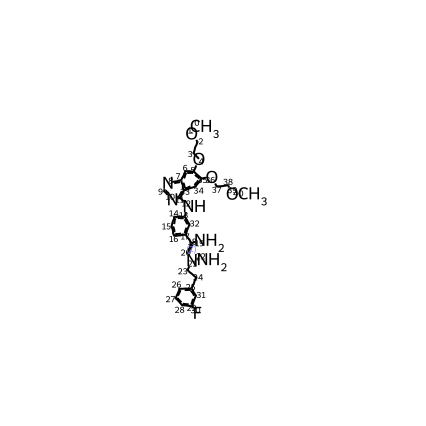 COCCOc1cc2ncnc(Nc3cccc(/C(N)=C/N(N)CCc4cccc(F)c4)c3)c2cc1OCCOC